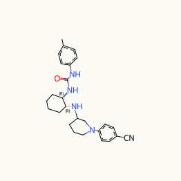 Cc1ccc(NC(=O)N[C@@H]2CCCC[C@H]2NC2CCCN(c3ccc(C#N)cc3)C2)cc1